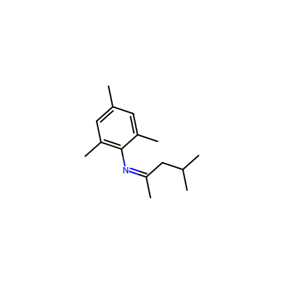 C/C(CC(C)C)=N/c1c(C)cc(C)cc1C